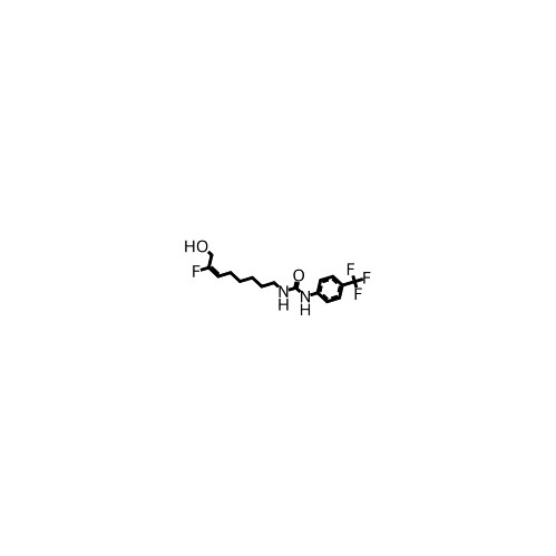 O=C(NCCCCC/C=C(/F)CO)Nc1ccc(C(F)(F)F)cc1